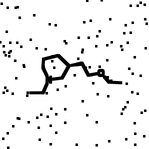 [CH2]CN1CCC[C@@H](CCOCC)C1